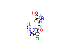 C[C@@H]1CN(C[C@@H](C(=O)N2CCN(c3ncnc4c3[C@H](C)C[C@H]4O)CC2)c2ccc(Cl)cc2)C[C@@H](C)N1